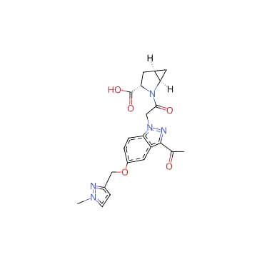 CC(=O)c1nn(CC(=O)N2[C@@H]3C[C@@H]3C[C@H]2C(=O)O)c2ccc(OCc3ccn(C)n3)cc12